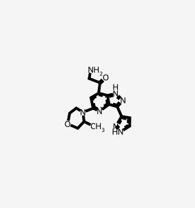 CC1COCCN1c1cc(C(=O)CN)c2[nH]nc(-c3cc[nH]n3)c2n1